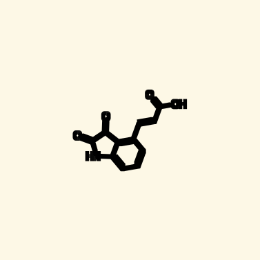 O=C(O)/C=C/c1cccc2c1C(=O)C(=O)N2